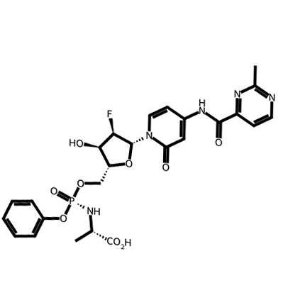 Cc1nccc(C(=O)Nc2ccn([C@@H]3O[C@H](CO[P@@](=O)(N[C@@H](C)C(=O)O)Oc4ccccc4)[C@@H](O)[C@H]3F)c(=O)c2)n1